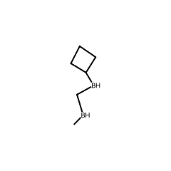 CBCBC1CCC1